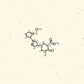 COCn1cccc1-n1cc(-c2cc(C)c(Cl)c(C(=O)OC)c2)cn1